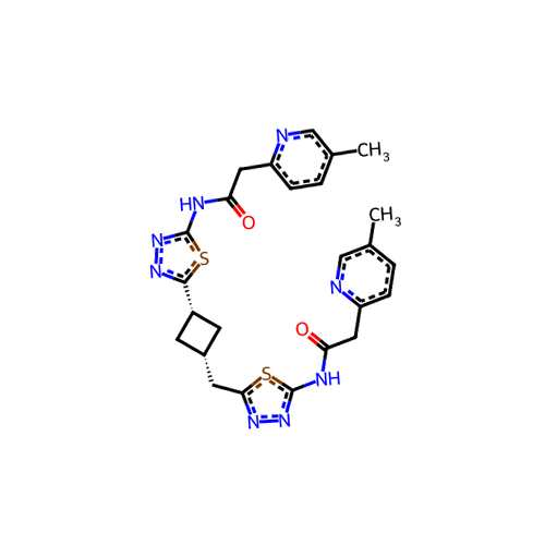 Cc1ccc(CC(=O)Nc2nnc(C[C@H]3C[C@@H](c4nnc(NC(=O)Cc5ccc(C)cn5)s4)C3)s2)nc1